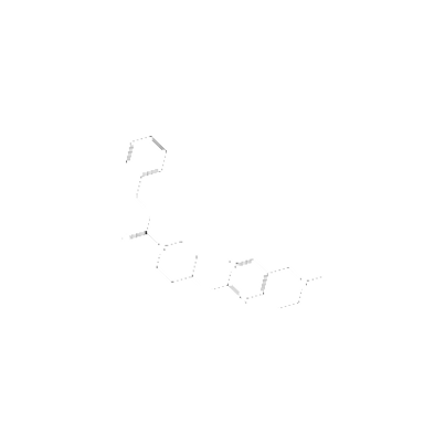 CN1CCc2nc(OC3CCN(C(=O)OCc4ccccc4)CC3)ncc2C1